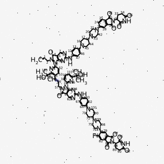 C=CCn1c(=O)c2cnc(Nc3ccc(N4CCC(N5CCN(c6ccc7c(c6)C(=O)N(C6CCC(=O)NC6=O)C7=O)CC5)CC4)cc3)nc2n1-c1ccc(/C=C/Cn2c(=O)c3cnc(Nc4ccc(N5CCC(N6CCN(c7cc8c(cc7F)C(=O)N(C7CCC(=O)NC7=O)C8=O)CC6)CC5)cc4)nc3n2-c2cccc(C(C)(C)O)n2)c(C(C)(C)O)n1